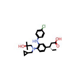 CC[C@@H](CC(=O)O)c1ccc(N(CC2CC2)CC(C)(C)O)c(Nc2ccc(Cl)cc2)c1